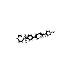 CC(C)N1CCC(C2=CC=C(c3ccc(S(=O)(=O)N4CCCCC4)cc3)CN2)CC1